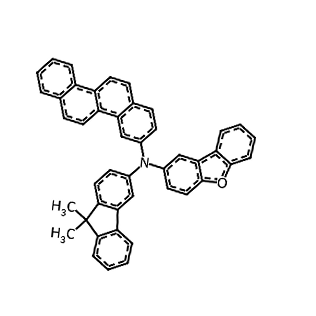 CC1(C)c2ccccc2-c2cc(N(c3ccc4ccc5c6ccccc6ccc5c4c3)c3ccc4oc5ccccc5c4c3)ccc21